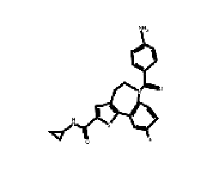 Nc1ccc(C(=O)N2CCc3cc(C(=O)NC4CC4)sc3-c3cc(Br)ccc32)cc1